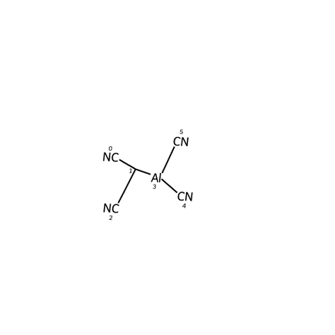 N#C[CH](C#N)[Al]([C]#N)[C]#N